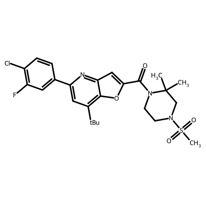 CC(C)(C)c1cc(-c2ccc(Cl)c(F)c2)nc2cc(C(=O)N3CCN(S(C)(=O)=O)CC3(C)C)oc12